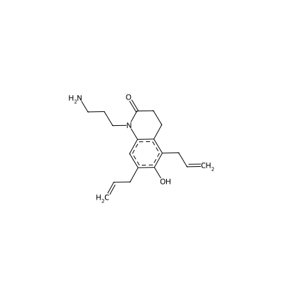 C=CCc1cc2c(c(CC=C)c1O)CCC(=O)N2CCCN